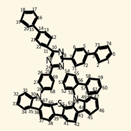 c1ccc(-c2ccc(-c3nc(-c4ccc(-c5ccccc5)cc4)nc(-c4ccc(-n5c6ccccc6c6ccc7c8ccc9c%10ccccc%10n(-c%10ccccc%10-c%10ccccc%10)c9c8sc7c65)cc4)n3)cc2)cc1